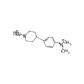 CCCCN1CCC(c2ccc(N(C)C)cc2)CC1